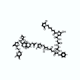 C=C1C[C@H](CC[C@]2(O[C@@H]3C(C)CO[C@H]4CC[C@H](CC(=O)C[C@@H]5C[C@@H](C[C@H](O)CNC(=O)CNC(=O)[C@H](Cc6ccccc6)NC(=O)CNC(=O)CNC(=O)[C@@H]6C[C@@H](O)CN6C(=O)CCCCCN6C(=O)C=CC6=O)O[C@H]5C)O[C@@H]43)CCO2)O[C@H]1CC[C@H]1CCC(=C)[C@@H](C)O1